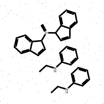 CCNc1ccccc1.CCNc1ccccc1.[CH2]=[Zr]([CH]1C=Cc2ccccc21)[CH]1C=Cc2ccccc21